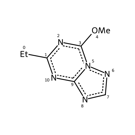 CCc1nc(OC)n2ncnc2n1